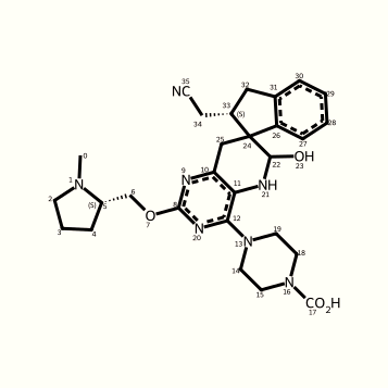 CN1CCC[C@H]1COc1nc2c(c(N3CCN(C(=O)O)CC3)n1)NC(O)C1(C2)c2ccccc2C[C@H]1CC#N